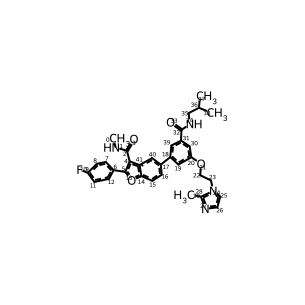 CNC(=O)c1c(-c2ccc(F)cc2)oc2ccc(-c3cc(OCCn4ccnc4C)cc(C(=O)NCC(C)C)c3)cc12